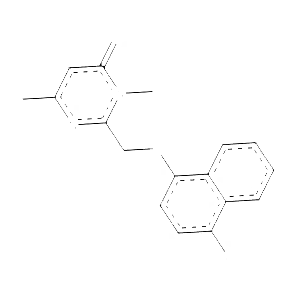 Cc1cc(=O)n(C)c(COc2ccc(Cl)c3ccccc23)n1